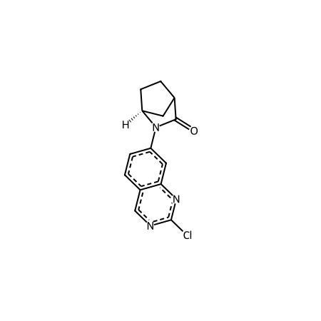 O=C1C2CC[C@@H](C2)N1c1ccc2cnc(Cl)nc2c1